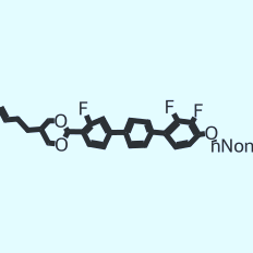 C=CCCC1COC(c2ccc(-c3ccc(-c4ccc(OCCCCCCCCC)c(F)c4F)cc3)cc2F)OC1